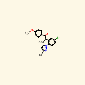 CCc1ccn(-c2ccc(Br)cc2C(OC(C)=O)C(=O)c2ccc(OC(F)(F)F)cc2)n1